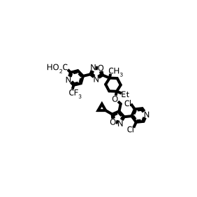 CCC1(OCc2c(-c3c(Cl)cncc3Cl)noc2C2CC2)CCC(C)(c2nc(-c3cc(C(=O)O)nc(C(F)(F)F)c3)no2)CC1